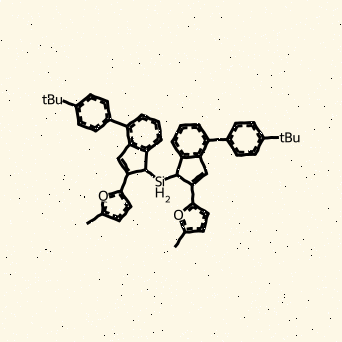 Cc1ccc(C2=Cc3c(-c4ccc(C(C)(C)C)cc4)cccc3C2[SiH2]C2C(c3ccc(C)o3)=Cc3c(-c4ccc(C(C)(C)C)cc4)cccc32)o1